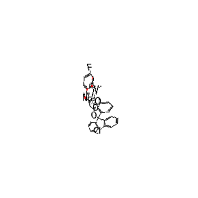 C[C@@H](CN)N(C)C(=O)[C@@H](CC(=O)OC(c1ccccc1)(c1ccccc1)c1ccccc1Cl)Cc1ccc(F)cc1